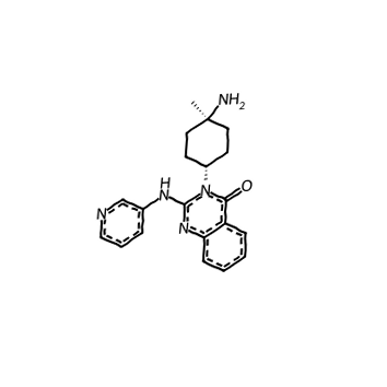 C[C@]1(N)CC[C@H](n2c(Nc3cccnc3)nc3ccccc3c2=O)CC1